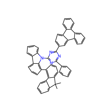 CC1(C)c2ccccc2-c2c(-c3cccc4c5ccccc5n(-c5nc(-c6ccccc6)nc(-c6ccc7c8ccccc8c8ccccc8c7c6)n5)c34)cccc21